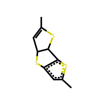 CC1=CC2Sc3cc(C)sc3C2S1